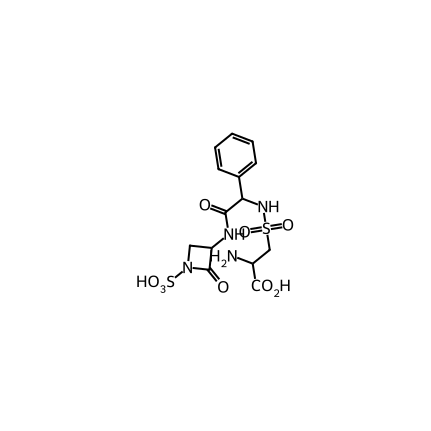 NC(CS(=O)(=O)NC(C(=O)NC1CN(S(=O)(=O)O)C1=O)c1ccccc1)C(=O)O